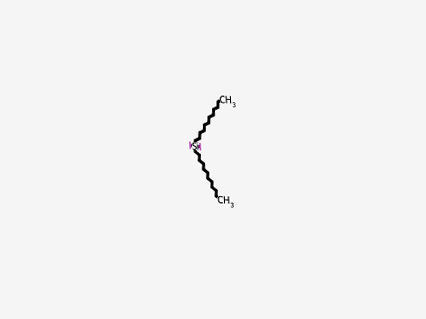 CCCCCCCCCCCC[Si](I)(I)CCCCCCCCCCCC